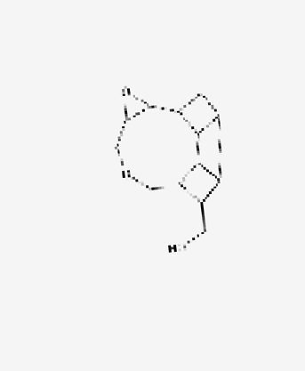 OCC1C2COCC3OC3C3CC4C1C2C34